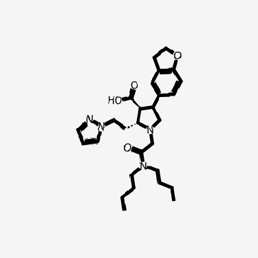 CCCCN(CCCC)C(=O)CN1CC(c2ccc3c(c2)CCO3)[C@H](C(=O)O)[C@H]1CCn1cccn1